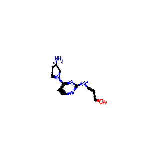 N[C@@H]1CCN(c2ccnc(NCCCO)n2)C1